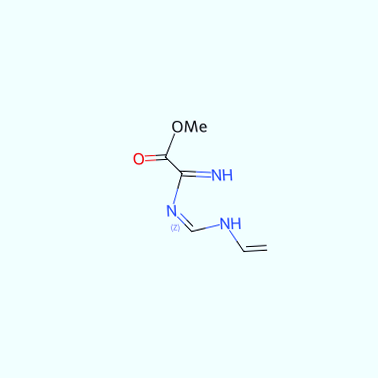 C=CN/C=N\C(=N)C(=O)OC